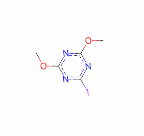 COc1nc(I)nc(OC)n1